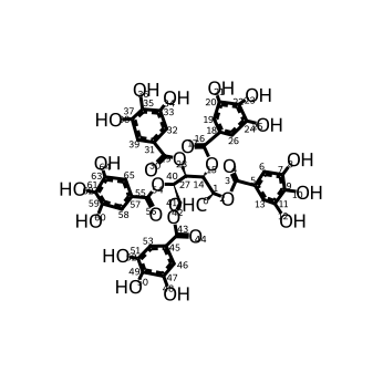 O=C[C@H](OC(=O)c1cc(O)c(O)c(O)c1)[C@@H](OC(=O)c1cc(O)c(O)c(O)c1)[C@H](OC(=O)c1cc(O)c(O)c(O)c1)[C@@H](COC(=O)c1cc(O)c(O)c(O)c1)OC(=O)c1cc(O)c(O)c(O)c1